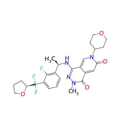 C[C@@H](Nc1nn(C)c(=O)c2cc(=O)n(C3CCOCC3)cc12)c1cccc(C(F)(F)[C@@H]2CCCO2)c1F